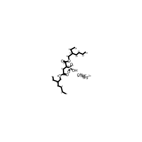 CCCCC(CC)COC(=O)CC(C(=O)OCC(CC)CCCC)S(=O)(=O)O.[Mg+2].[Na+].[O-2]